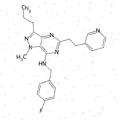 CCCc1nn(C)c2c(NCc3ccc(F)cc3)nc(CCc3cccnc3)nc12